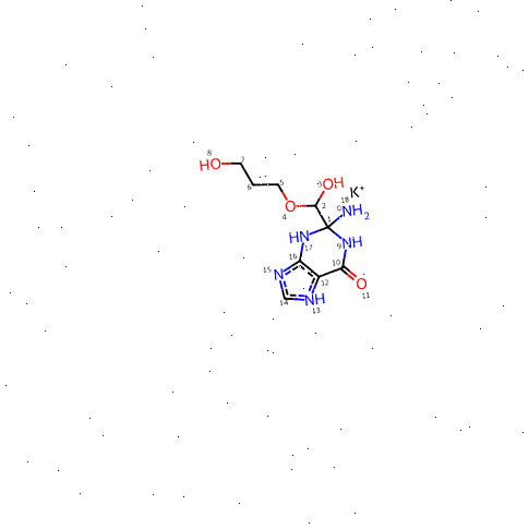 NC1(C(O)OCCCO)NC(=O)c2[nH]cnc2N1.[K+]